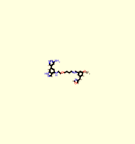 Nc1cc(-c2cc(NCCOCCCCNCc3cc(Cc4cocn4)cc(OC(F)(F)F)c3)c3cn[nH]c3c2)cnn1